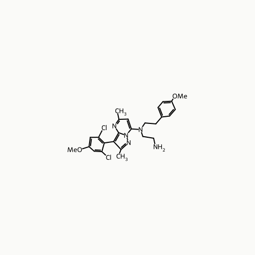 COc1ccc(CCN(CCN)c2cc(C)nc3c(-c4c(Cl)cc(OC)cc4Cl)c(C)nn23)cc1